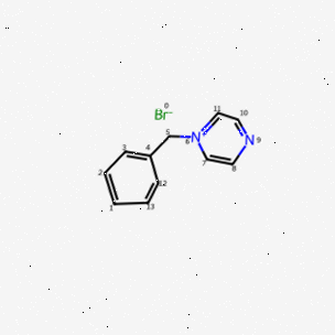 [Br-].c1ccc(C[n+]2ccncc2)cc1